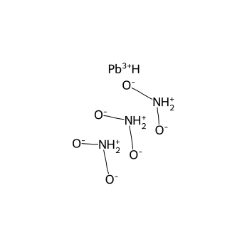 [O-][NH2+][O-].[O-][NH2+][O-].[O-][NH2+][O-].[PbH+3]